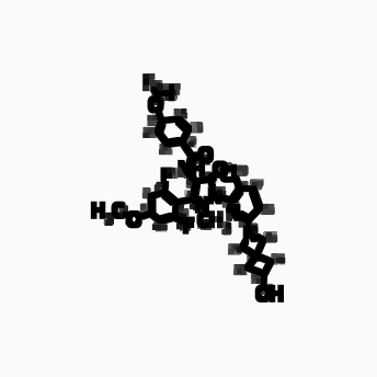 COc1cc(F)c(-c2c(NC(=O)c3ccc(OC(F)F)cc3)c(=O)n(-c3nc(N4CC5(CC(O)C5)C4)ccc3Cl)n2C)c(F)c1